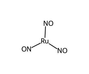 O=[N][Ru]([N]=O)[N]=O